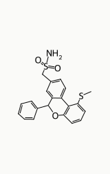 CSc1cccc2c1-c1ccc(CS(N)(=O)=O)cc1C(c1ccccc1)O2